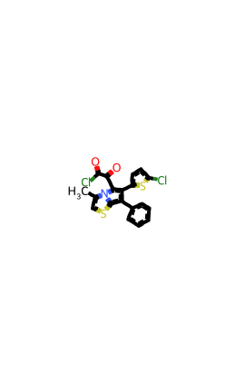 Cc1csc2c(-c3ccccc3)c(-c3ccc(Cl)s3)c(C(=O)C(=O)Cl)n12